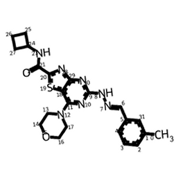 Cc1cccc(/C=N/Nc2nc(N3CCOCC3)c3sc(C(=O)NC4CCC4)nc3n2)c1